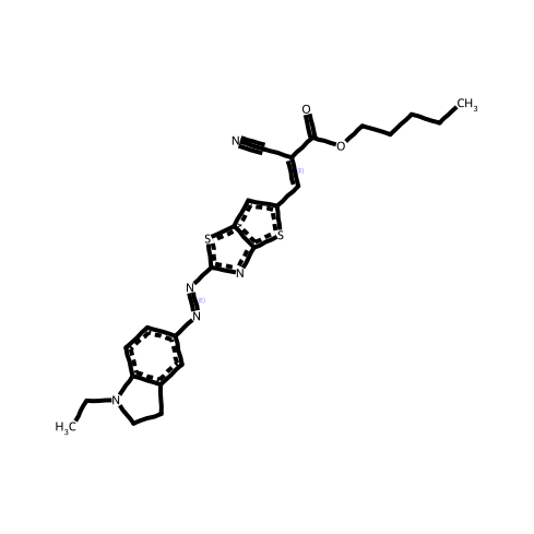 CCCCCOC(=O)/C(C#N)=C/c1cc2sc(/N=N/c3ccc4c(c3)CCN4CC)nc2s1